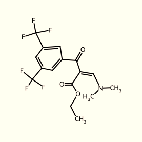 CCOC(=O)C(=CN(C)C)C(=O)c1cc(C(F)(F)F)cc(C(F)(F)F)c1